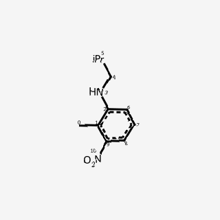 Cc1c(NCC(C)C)cccc1[N+](=O)[O-]